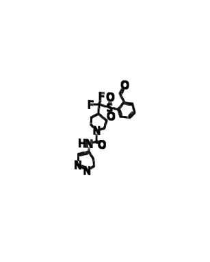 O=Cc1ccccc1S(=O)(=O)C(F)(F)C1CCN(C(=O)NC2=CN=NCC2)CC1